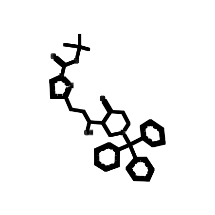 CC(C)(C)OC(=O)n1ccc(CCC(O)C2CN(C(c3ccccc3)(c3ccccc3)c3ccccc3)CCC2=O)n1